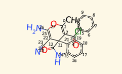 CC1=C(C(=O)c2ccccc2)C2(C(=O)Nc3cccc(Cl)c32)C(C#N)=C(N)O1